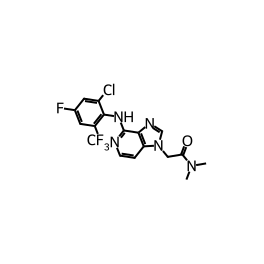 CN(C)C(=O)Cn1cnc2c(Nc3c(Cl)cc(F)cc3C(F)(F)F)nccc21